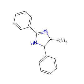 CC1N=C(c2ccccc2)NC1c1ccccc1